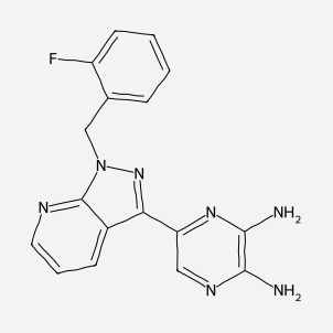 Nc1ncc(-c2nn(Cc3ccccc3F)c3ncccc23)nc1N